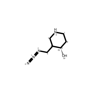 [N-]=[N+]=NCC1CNCC[C@@H]1O